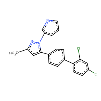 O=C(O)c1cc(-c2ccc(-c3ccc(Cl)cc3Cl)cc2)n(-c2cccnc2)n1